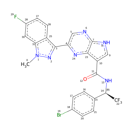 Cn1nc(-c2cnc3[nH]cc(C(=O)N[C@H](c4ccc(Br)cc4)C(F)(F)F)c3n2)c2ccc(F)cc21